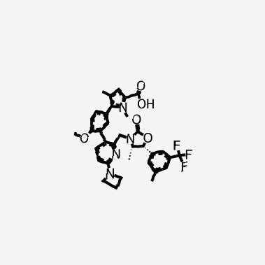 COc1ccc(-c2c(C)cc(C(=O)O)n2C)cc1-c1ccc(N2CCC2)nc1CN1C(=O)O[C@H](c2cc(C)cc(C(F)(F)F)c2)[C@@H]1C